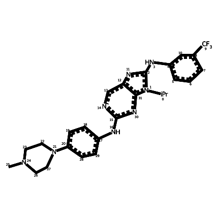 CC(C)n1c(Nc2cccc(C(F)(F)F)c2)nc2cnc(Nc3ccc(N4CCN(C)CC4)cc3)nc21